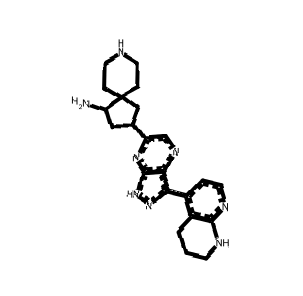 NC1CC(c2cnc3c(-c4ccnc5c4CCCN5)n[nH]c3n2)CC12CCNCC2